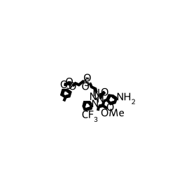 COC(=O)C1=C(C)N(c2cccc(C(F)(F)F)c2)c2nn(CCCS(=O)(=O)CCCOS(=O)(=O)c3ccc(C)cc3)c(=O)n2C1c1ccc(N)cc1